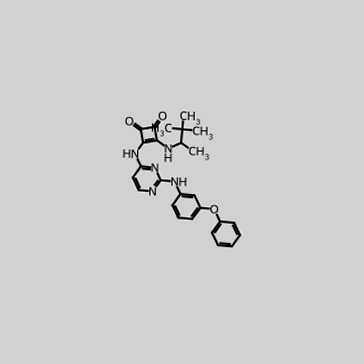 CC(Nc1c(Nc2ccnc(Nc3cccc(Oc4ccccc4)c3)n2)c(=O)c1=O)C(C)(C)C